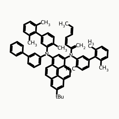 C=C(/C=C\C=C/C)N(c1cc(-c2c(C)cccc2C)ccc1C)c1cc(N(c2cccc(-c3ccccc3)c2)c2cc(-c3c(C)cccc3C)ccc2C)c2ccc3cc(C(C)(C)C)cc4ccc1c2c43